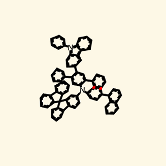 c1ccc(-c2cc(N(c3ccc(-c4cccc5ccccc45)cc3)c3ccc4c(c3)C3(c5ccccc5-c5ccccc53)c3ccccc3-4)c(-c3ccccc3)cc2-c2ccc3c(c2)c2ccccc2n3-c2ccccc2)cc1